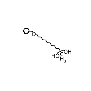 CC(CO)(CO)CCCCCCCCCCCOCc1ccccc1